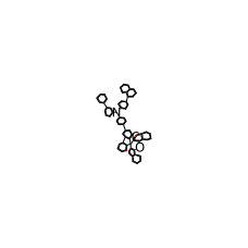 c1ccc(-c2cccc(N(c3ccc(-c4ccc5c(c4)-c4ccccc4C54c5ccc6ccccc6c5Oc5c4ccc4ccccc54)cc3)c3ccc(-c4cccc5ccccc45)cc3)c2)cc1